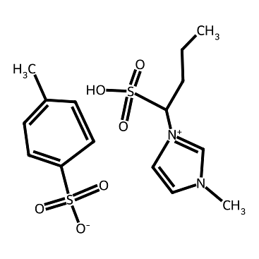 CCCC([n+]1ccn(C)c1)S(=O)(=O)O.Cc1ccc(S(=O)(=O)[O-])cc1